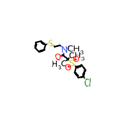 CN(CCSc1ccccc1)C(=O)C(C)(C)S(=O)(=O)c1ccc(Cl)cc1